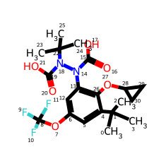 CC(C)(C)c1cc(OC(F)(F)F)cc(N(C(=O)O)N(C(=O)O)C(C)(C)C)c1OC1CC1